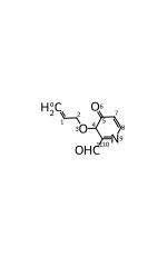 C=CCOC1C(=O)C=CN=C1C=O